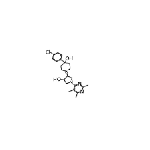 Cc1nc(C)c(C)c(N2CC(O)C(N3CCC(O)(c4ccc(Cl)cc4)CC3)C2)n1